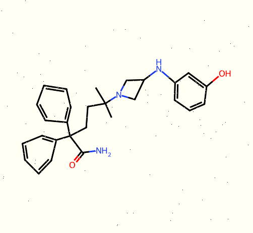 CC(C)(CCC(C(N)=O)(c1ccccc1)c1ccccc1)N1CC(Nc2cccc(O)c2)C1